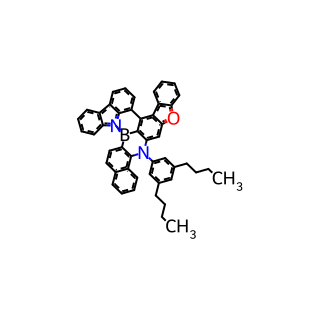 CCCCc1cc(CCCC)cc(N2c3cc4oc5ccccc5c4c4c3B(c3ccc5ccccc5c32)n2c3ccccc3c3cccc-4c32)c1